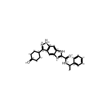 CC(NC(=O)c1nc2cc3c(C4CCC(=O)CC4)n[nH]c3cc2[nH]1)c1ccccc1